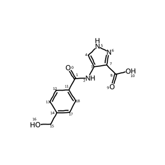 O=C(Nc1c[nH]nc1C(=O)O)c1ccc(CO)cc1